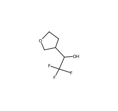 OC(C1CCOC1)C(F)(F)F